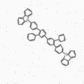 c1ccc(-c2cc(-c3ccc(-c4ccc(-n5c6ccccc6c6ccccc65)cc4)c(-c4ccccc4)c3)ccc2-c2ccc(-n3c4ccccc4c4ccccc43)cc2)cc1